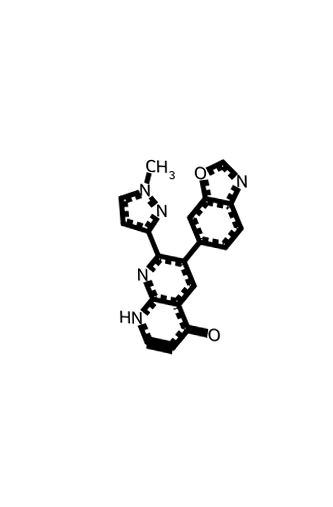 Cn1ccc(-c2nc3[nH]c#cc(=O)c3cc2-c2ccc3ncoc3c2)n1